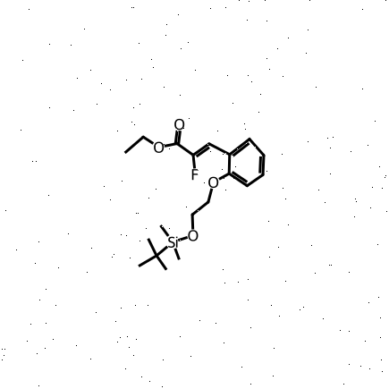 CCOC(=O)/C(F)=C/c1ccccc1OCCO[Si](C)(C)C(C)(C)C